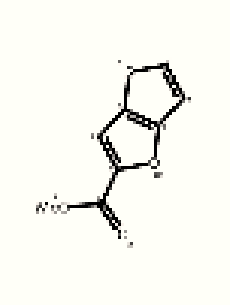 COC(=O)c1cc2sccc2o1